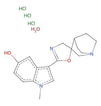 Cl.Cl.Cl.Cn1cc(C2=NCC3(CN4CCC3CC4)O2)c2cc(O)ccc21.O